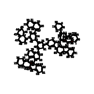 c1ccc(-c2nc(-c3ccccc3)nc(-n3c4ccc(-c5cc(-c6cc(-c7cccc8ccccc78)cc(-c7cccc8ccccc78)c6)cc(-c6ccc(-c7cccc8ccccc78)c7c(-c8cccc9ccccc89)cccc67)c5)cc4c4ccc5c6ccccc6n(-c6ccccc6)c5c43)n2)cc1